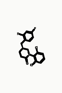 O=C1CC[C@@H](Cc2ccc(F)cc2F)CN1c1c(Cl)cccc1Cl